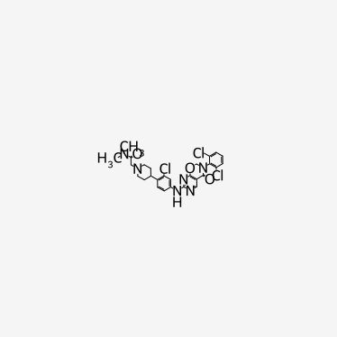 CN(C)C(=O)CN1CCC(c2ccc(Nc3ncc4c(n3)OCN(c3c(Cl)cccc3Cl)C4=O)cc2Cl)CC1